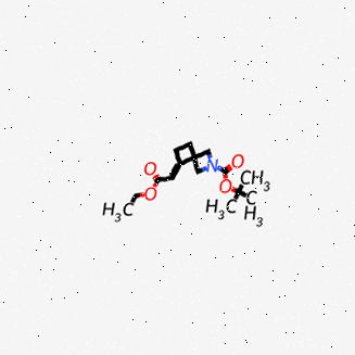 CCOC(=O)/C=C1\CCC12CN(C(=O)OC(C)(C)C)C2